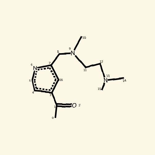 CC(=O)c1ccnc(CN(C)CCN(C)C)c1